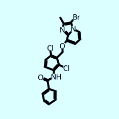 Cc1nc2c(OCc3c(Cl)ccc(NC(=O)c4ccccc4)c3Cl)cccn2c1Br